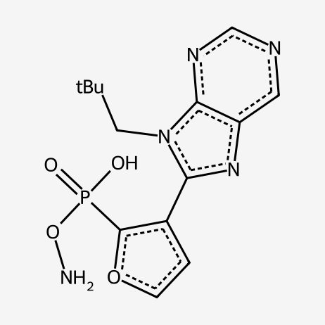 CC(C)(C)Cn1c(-c2ccoc2P(=O)(O)ON)nc2cncnc21